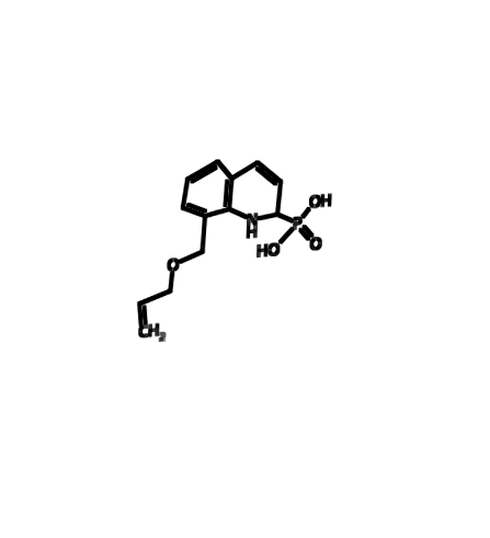 C=CCOCc1cccc2c1NC(P(=O)(O)O)C=C2